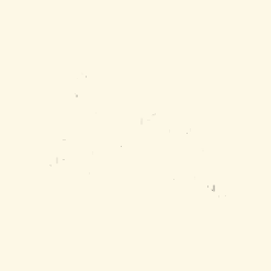 CC(C)c1ccc(N)cc1-c1cccc(-c2cc(N)ccc2C(C)C)c1